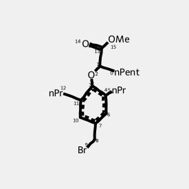 CCCCCC(Oc1c(CCC)cc(CBr)cc1CCC)C(=O)OC